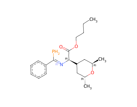 CCCCOC(=O)[C@H](/N=C(\P)c1ccccc1)C1C[C@@H](C)O[C@H](C)C1